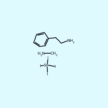 CN.NCCc1ccccc1.[I][Sn]([I])([I])[I]